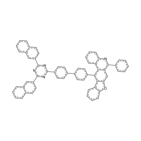 c1ccc(-c2nc3ccccc3c3c(-c4ccc(-c5ccc(-c6nc(-c7ccc8ccccc8c7)nc(-c7ccc8ccccc8c7)n6)cc5)cc4)c4c(cc23)oc2ccccc24)cc1